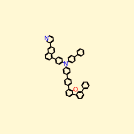 c1ccc(-c2ccc(N(c3ccc(-c4ccc(-c5cccc6c5oc5c(-c7ccccc7)cccc56)cc4)cc3)c3ccc(-c4cccc5cc(-c6cccnc6)ccc45)cc3)cc2)cc1